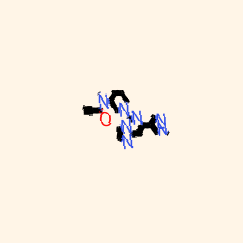 C#CC(=O)N(C)C1CCCN(c2nc(-c3cnn(C)c3)cc3nccn23)C1